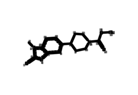 Cn1c(=O)oc2cc(C3CCN(C(=O)OC(C)(C)C)CC3)ccc21